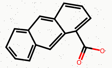 [O]C(=O)c1cccc2cc3ccccc3cc12